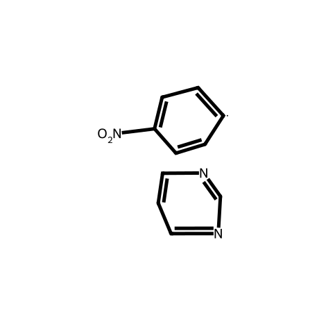 O=[N+]([O-])c1cc[c]cc1.c1cncnc1